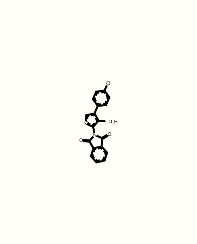 O=C(O)c1c(-c2ccc(Cl)cc2)csc1N1C(=O)c2ccccc2C1=O